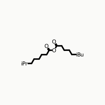 CCC(C)CCCCC(=O)OC(=O)CCCCCC(C)C